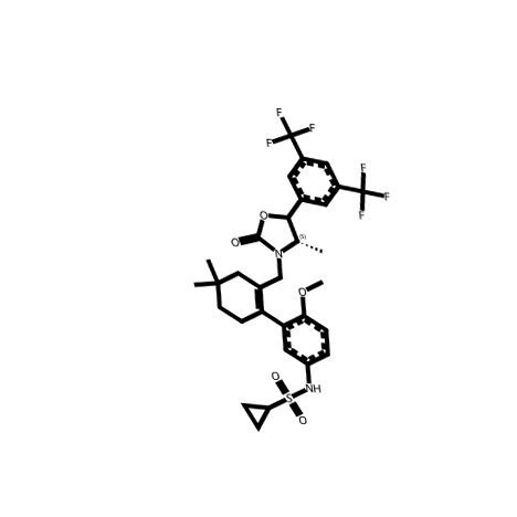 COc1ccc(NS(=O)(=O)C2CC2)cc1C1=C(CN2C(=O)OC(c3cc(C(F)(F)F)cc(C(F)(F)F)c3)[C@@H]2C)CC(C)(C)CC1